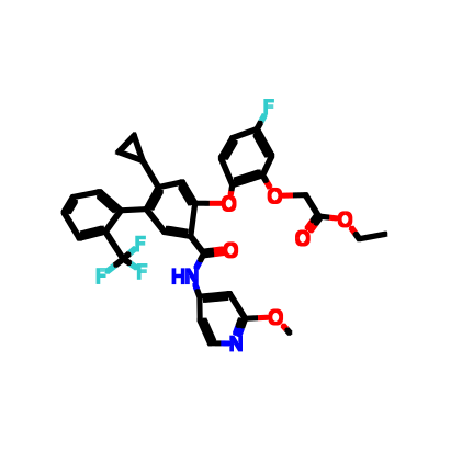 CCOC(=O)COc1cc(F)ccc1Oc1cc(C2CC2)c(-c2ccccc2C(F)(F)F)cc1C(=O)Nc1ccnc(OC)c1